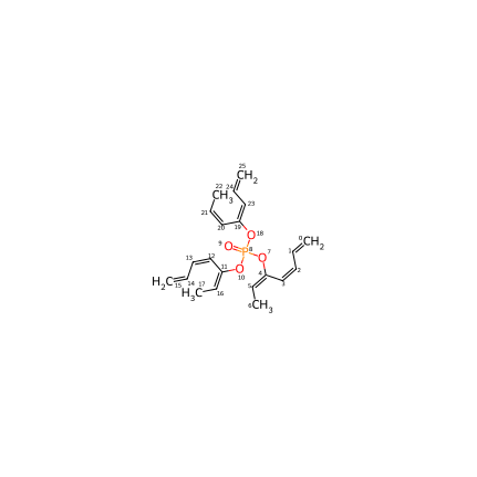 C=C/C=C\C(=C/C)OP(=O)(OC(/C=C\C=C)=C/C)OC(/C=C\C)=C/C=C